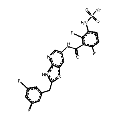 CCCS(=O)(=O)Nc1ccc(F)c(C(=O)Nc2cnc3[nH]c(Cc4cc(F)cc(F)c4)nc3c2)c1F